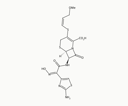 COC/C=C\SC1=C(C(=O)O)N2C(=O)[C@@H](NC(=O)/C(=N\O)c3csc(N)n3)[C@H]2SC1